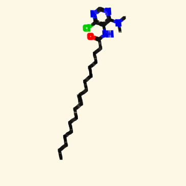 CCCCCCCCC=CCCCCCCCC(=O)Nc1c(Cl)ncnc1N(C)C